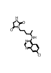 CC(CCCN1C(=O)CNC1=O)Nc1ncnc2cc(Cl)ccc12